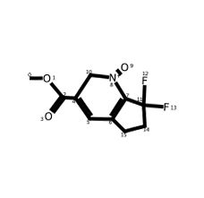 COC(=O)C1=CC2=C([N+](=O)C1)C(F)(F)CC2